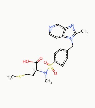 CSCC[C@@H](C(=O)O)N(C)S(=O)(=O)c1ccc(Cn2c(C)nc3cnccc32)cc1